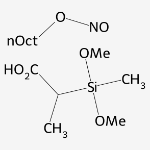 CCCCCCCCON=O.CO[Si](C)(OC)C(C)C(=O)O